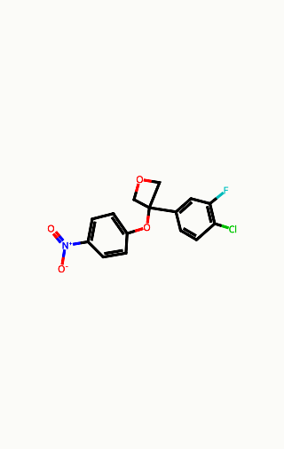 O=[N+]([O-])c1ccc(OC2(c3ccc(Cl)c(F)c3)COC2)cc1